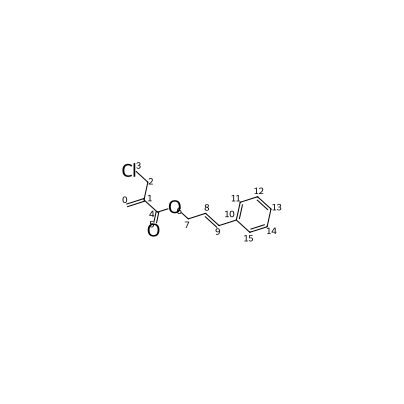 C=C(CCl)C(=O)OCC=Cc1ccccc1